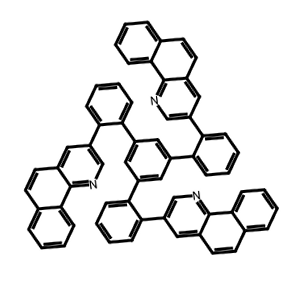 c1ccc(-c2cnc3c(ccc4ccccc43)c2)c(-c2cc(-c3ccccc3-c3cnc4c(ccc5ccccc54)c3)cc(-c3ccccc3-c3cnc4c(ccc5ccccc54)c3)c2)c1